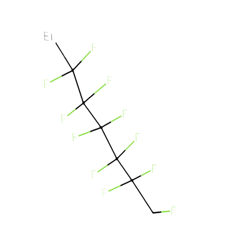 CCC(F)(F)C(F)(F)C(F)(F)C(F)(F)C(F)(F)CF